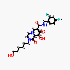 O=C(NCc1ccc(F)cc1F)c1cn2ccn(CCCCCCO)c(=O)c2c(O)c1=O